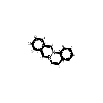 C1=Cc2ccccc2N2C=c3ccccc3=CB12